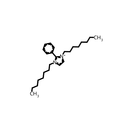 CCCCCCCCn1cc[n+](CCCCCCCC)c1-c1ccccc1